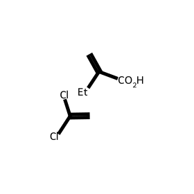 C=C(CC)C(=O)O.C=C(Cl)Cl